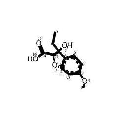 CC[C@](O)(c1ccc(OC)cc1)[C@@H](O)C(=O)O